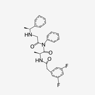 C[C@H](NC(=O)Cc1cc(F)cc(F)c1)C(=O)N(C(=O)CN[C@@H](C)c1ccccc1)c1ccccc1